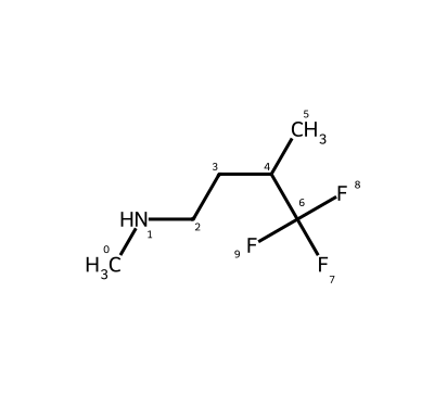 CNCCC(C)C(F)(F)F